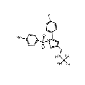 [2H]C([2H])([2H])NCc1cc(-c2ccc(F)cc2)n(S(=O)(=O)c2ccc(Br)cc2)c1